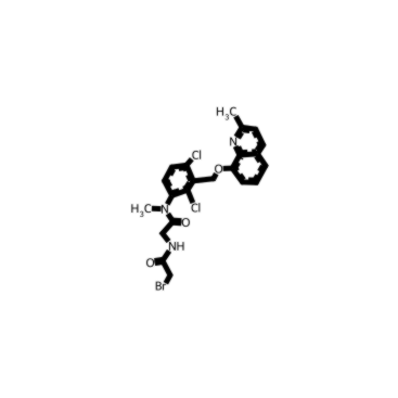 Cc1ccc2cccc(OCc3c(Cl)ccc(N(C)C(=O)CNC(=O)CBr)c3Cl)c2n1